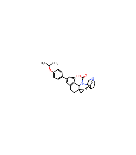 CC(C)Oc1ccc(-c2ccc3c(c2)CCC2(CC2)C3N(C(=O)O)[C@@H]2CN3CCC2CC3)cc1